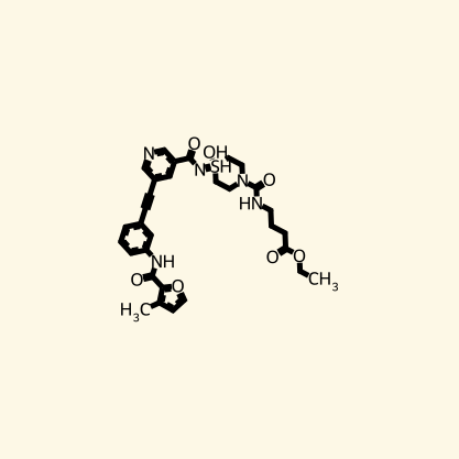 CCOC(=O)CCCNC(=O)N1CC[SH](O)(=NC(=O)c2cncc(C#Cc3cccc(NC(=O)c4occc4C)c3)c2)CC1